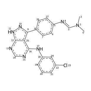 CN(C)C=Nc1ccc(-c2n[nH]c3ncnc(Nc4cccc(Cl)c4)c23)cc1